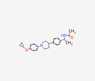 CC(=O)N[C@@H](C)c1ccc(C2CCN(c3ccc(OC4CC4)cc3)CC2)cc1